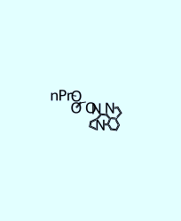 CCCOC(=O)CO/N=c1/c2nccc3cccc(c32)n2cccc12